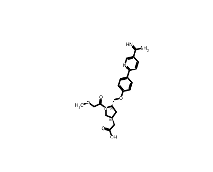 COCC(=O)N1C[C@H](CC(=O)O)C[C@H]1COc1ccc(-c2ccc(C(=N)N)cn2)cc1